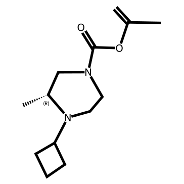 C=C(C)OC(=O)N1CCN(C2CCC2)[C@H](C)C1